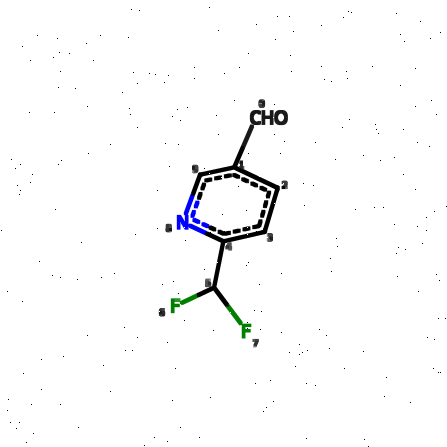 O=Cc1ccc(C(F)F)nc1